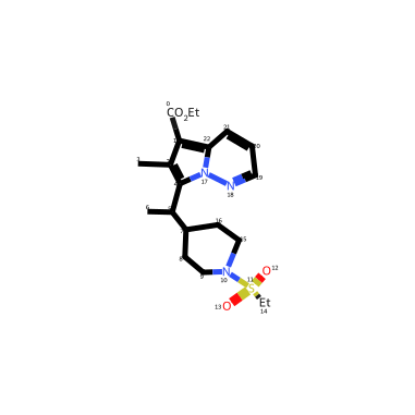 CCOC(=O)c1c(C)c(C(C)C2CCN(S(=O)(=O)CC)CC2)n2ncccc12